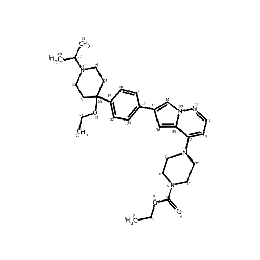 CCOC(=O)N1CCN(c2ccnn3cc(-c4ccc(C5(OCC)CCN(C(C)C)CC5)cc4)cc23)CC1